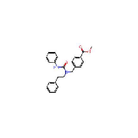 COC(=O)c1ccc(CN(CCc2ccccc2)C(=O)Nc2ccccc2)cc1